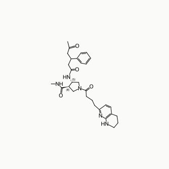 CNC(=O)[C@@H]1CN(C(=O)CCCc2ccc3c(n2)NCCC3)C[C@H]1NC(=O)CC(CC(C)=O)c1ccccc1